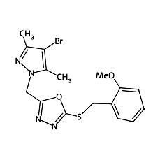 COc1ccccc1CSc1nnc(Cn2nc(C)c(Br)c2C)o1